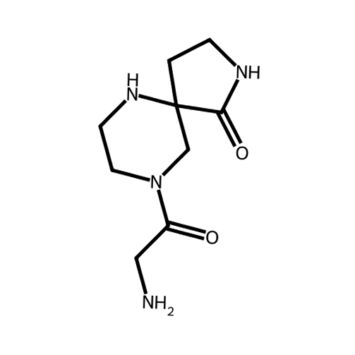 NCC(=O)N1CCNC2(CCNC2=O)C1